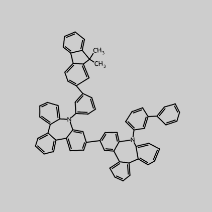 CC1(C)c2ccccc2-c2ccc(-c3cccc(N4c5ccccc5-c5ccccc5-c5ccc(-c6ccc7c(c6)-c6ccccc6-c6ccccc6N7c6cccc(-c7ccccc7)c6)cc54)c3)cc21